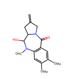 C=C1CC2C(O)N(C=O)c3cc(OC)c(OC)cc3C(=O)N2C1